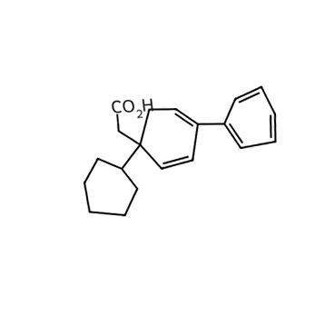 O=C(O)CC1(C2CCCCC2)C=CC(c2ccccc2)=CC1